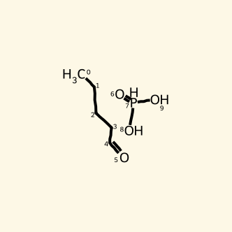 CCCCC=O.O=[PH](O)O